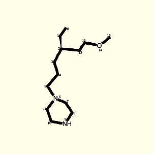 CC[C@H](CCCN1CCNCC1)CCOC